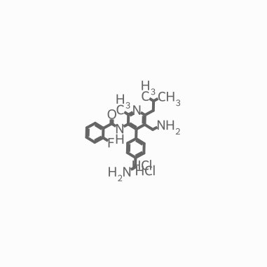 Cc1nc(CC(C)C)c(CN)c(-c2ccc(CN)cc2)c1NC(=O)c1ccccc1F.Cl.Cl